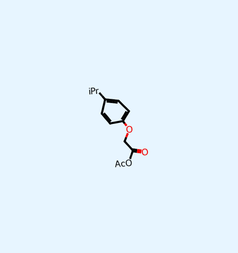 CC(=O)OC(=O)COc1ccc(C(C)C)cc1